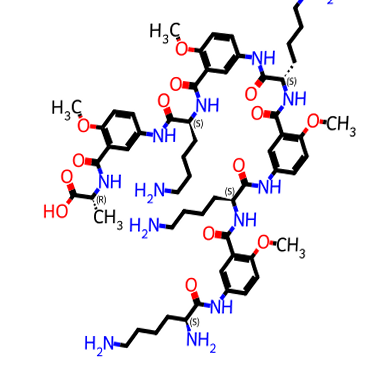 COc1ccc(NC(=O)[C@H](CCCCN)NC(=O)c2cc(NC(=O)[C@@H](N)CCCCN)ccc2OC)cc1C(=O)N[C@@H](CCCCN)C(=O)Nc1ccc(OC)c(C(=O)N[C@@H](CCCCN)C(=O)Nc2ccc(OC)c(C(=O)N[C@H](C)C(=O)O)c2)c1